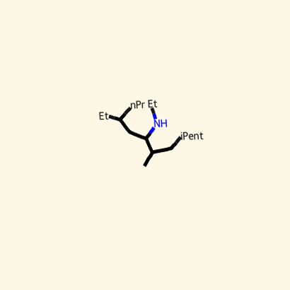 CCCC(C)CC(C)C(CC(CC)CCC)NCC